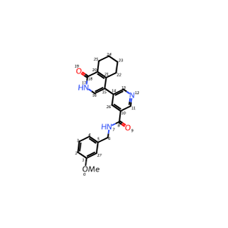 COc1cccc(CNC(=O)c2cncc(-c3c[nH]c(=O)c4c3CCCC4)c2)c1